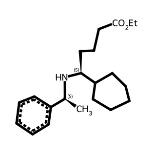 CCOC(=O)CCC[C@H](N[C@@H](C)c1ccccc1)C1CCCCC1